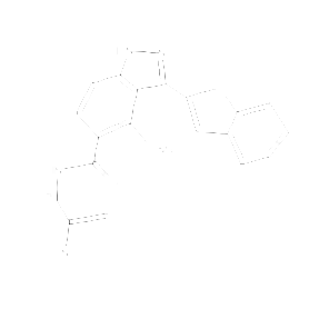 COc1c(C(=O)N[C@@H](C)C(N)=O)ccc2[nH]nc(-c3cc4ccccc4o3)c12